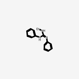 CCN/C(=N/c1ccccc1)Nc1ccccc1